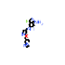 Nc1ncc(F)c2cc(NCc3ccnc(OCC4CCn5ccnc5C4)c3)ccc12